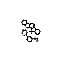 CC1(C)c2ccccc2-c2ccc3c4ccccc4n(-c4ncnc(-c5cccc(NS)c5)n4)c3c21